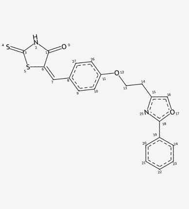 O=C1NC(=S)SC1=Cc1ccc(OCCc2coc(-c3ccccc3)n2)cc1